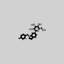 Cc1ccc(Cn2ccc3ccc([C@@H]4O[C@H](CO)[C@@H](O)[C@H](O)[C@H]4O)cc32)cc1